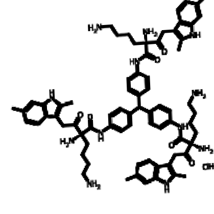 Cc1ccc2c(CC(=O)[C@@](N)(CCCCN)C(=O)Nc3ccc(C(c4ccc(NC(=O)[C@](N)(CCCCN)C(=O)Cc5c(C)[nH]c6cc(C)ccc56)cc4)c4ccc(NC(=O)[C@](N)(CCCCN)C(=O)Cc5c(C)[nH]c6cc(C)ccc56)cc4)cc3)c(C)[nH]c2c1.Cl